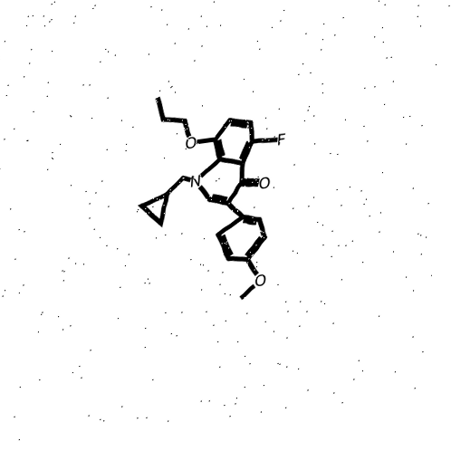 CCCOc1ccc(F)c2c(=O)c(-c3ccc(OC)cc3)cn(CC3CC3)c12